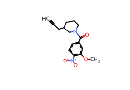 C#CCC1CCCN(C(=O)c2ccc([N+](=O)[O-])c(OC)c2)C1